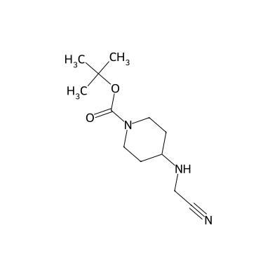 CC(C)(C)OC(=O)N1CCC(NCC#N)CC1